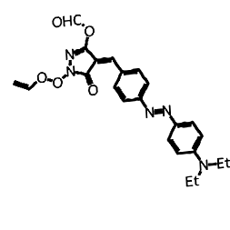 C=COON1N=C(OC=O)/C(=C/c2ccc(/N=N/c3ccc(N(CC)CC)cc3)cc2)C1=O